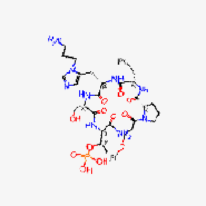 CC(C)C[C@H](NC(=O)[C@@H]1CCCN1C(=O)CCOC(C)C)C(=O)N[C@@H](Cc1cncn1CCCN)C(=O)N[C@@H](CO)C(=O)N[C@H](C(N)=O)[C@@H](C)OP(=O)(O)O